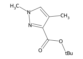 Cc1cn(C)nc1C(=O)OC(C)(C)C